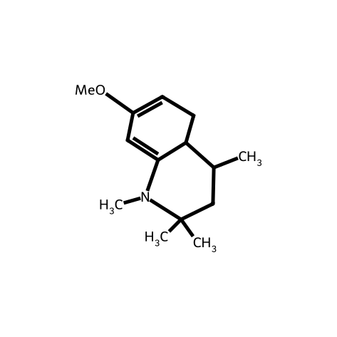 COC1=CCC2C(=C1)N(C)C(C)(C)CC2C